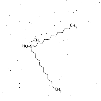 CCCCCCCCCCCC[N+](O)(CC)CCCCCCCCCCCC